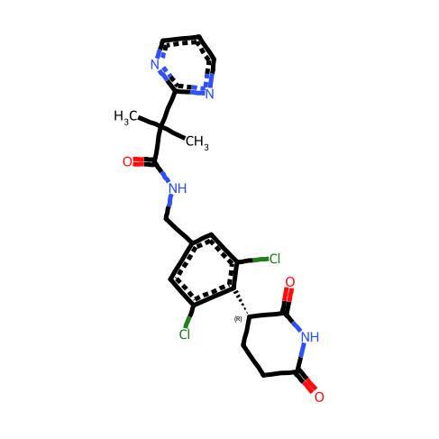 CC(C)(C(=O)NCc1cc(Cl)c([C@H]2CCC(=O)NC2=O)c(Cl)c1)c1ncccn1